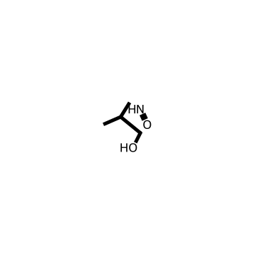 CC(C)CO.N=O